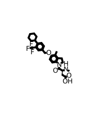 CN[C@@H](CC(=O)O)C(=O)N1CCc2c1ccc(OCc1ccc(C3CCCCC3)c(C(F)(F)F)c1)c2C